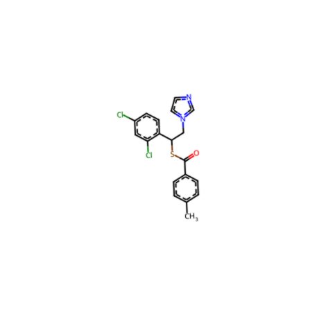 Cc1ccc(C(=O)SC(Cn2ccnc2)c2ccc(Cl)cc2Cl)cc1